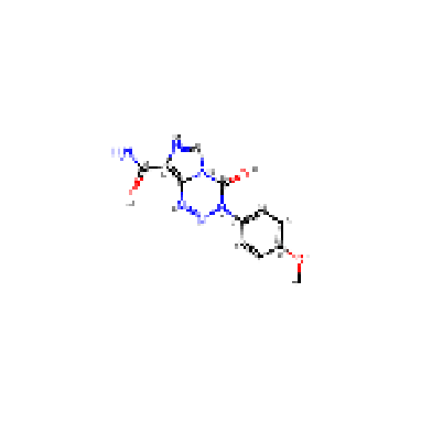 COc1ccc(-n2nnc3c(C(N)=O)ncn3c2=O)cc1